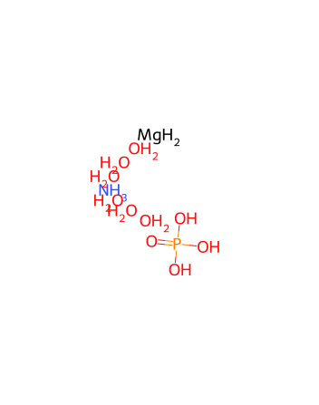 N.O.O.O.O.O.O.O=P(O)(O)O.[MgH2]